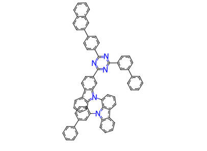 c1ccc(-c2cccc(-c3nc(-c4ccc(-c5ccc6ccccc6c5)cc4)nc(-c4ccc5c6ccccc6n(-c6cccc7c8ccccc8n(-c8cccc(-c9ccccc9)c8)c67)c5c4)n3)c2)cc1